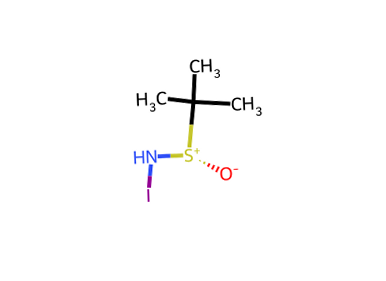 CC(C)(C)[S@+]([O-])NI